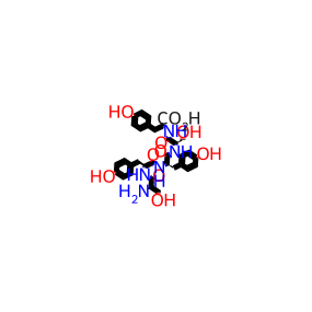 N[C@@H](CO)C(=O)N[C@@H](Cc1ccc(O)cc1)C(=O)N[C@@H](Cc1ccc(O)cc1)C(=O)N[C@@H](CO)C(=O)N[C@@H](Cc1ccc(O)cc1)C(=O)O